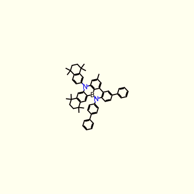 Cc1cc2c3c(c1)N(c1ccc4c(c1)C(C)(C)CCC4(C)C)c1cc4c(cc1B3N(c1ccc(-c3ccccc3)cc1)c1ccc(-c3ccccc3)cc1-2)C(C)(C)CCC4(C)C